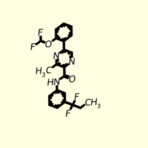 CCC(F)(F)c1cccc(NC(=O)c2ncc(-c3ccccc3OC(F)F)nc2C)c1